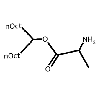 CCCCCCCCC(CCCCCCCC)OC(=O)C(C)N